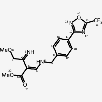 COCC(=N)/C(=C\NCc1ccc(-c2noc(C(F)(F)F)n2)cc1)C(=O)OC